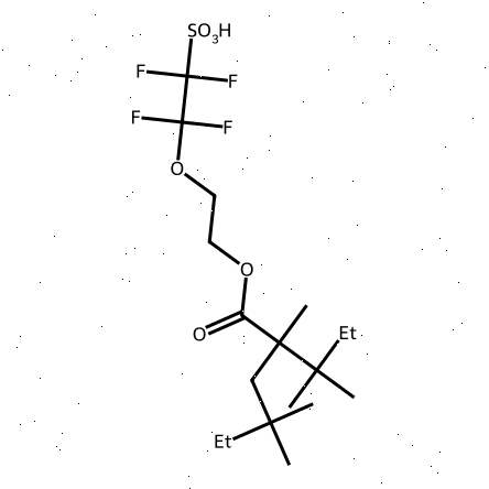 CCC(C)(C)CC(C)(C(=O)OCCOC(F)(F)C(F)(F)S(=O)(=O)O)C(C)(C)CC